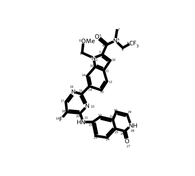 COCn1c(C(=O)N(C)CC(F)(F)F)cc2ccc(-c3ncc(F)c(Nc4ccc5c(=O)[nH]ccc5c4)n3)cc21